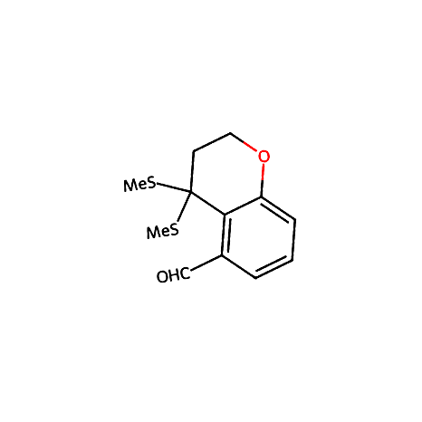 CSC1(SC)CCOc2cccc(C=O)c21